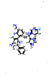 [2H][C@](Nc1cc(C#N)c2ncc(C#N)c(N[C@H](CC)c3ccccc3)c2c1)(c1ccc(F)nc1)c1cn(C)nn1